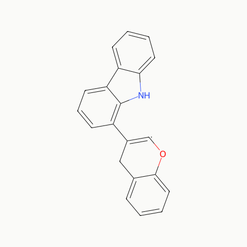 [C]1=C(c2cccc3c2[nH]c2ccccc23)Cc2ccccc2O1